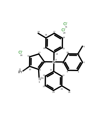 Cc1cccc([Si](C2=[C]([Ti+3])C(C(C)C)=CC2)(c2cccc(C)c2)c2cccc(C)c2)c1.[Cl-].[Cl-].[Cl-]